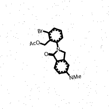 CNc1ccc2c(c1)CN(c1cccc(Br)c1COC(C)=O)C2=O